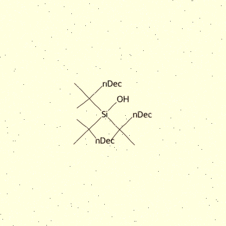 CCCCCCCCCCC(C)(C)[Si](O)(C(C)(C)CCCCCCCCCC)C(C)(C)CCCCCCCCCC